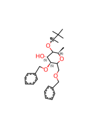 C[C@H]1OC(COCc2ccccc2)[C@@H](OCc2ccccc2)[C@H](O)C1O[Si](C)(C)C(C)(C)C